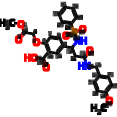 COC(=O)COc1ccc(C(CC(=O)NCc2ccc(OC)cc2)NS(=O)(=O)c2ccccc2)cc1C(=O)O